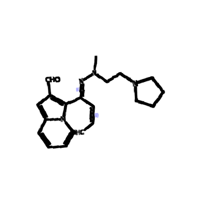 CN(CCN1CCCC1)/N=C(\C=C/C=O)c1c(C=O)cc2ccccn12